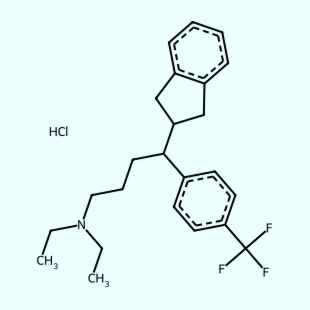 CCN(CC)CCCC(c1ccc(C(F)(F)F)cc1)C1Cc2ccccc2C1.Cl